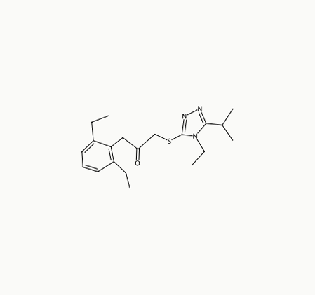 CCc1cccc(CC)c1CC(=O)CSc1nnc(C(C)C)n1CC